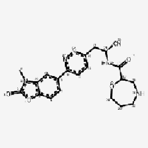 Cn1c(=O)oc2ccc(-c3ccc(C[C@@H](C#N)NC(=O)C4CNCCCO4)nn3)cc21